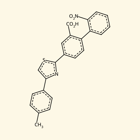 Cc1ccc(-c2csc(-c3ccc(-c4ccccc4[N+](=O)[O-])c(C(=O)O)c3)n2)cc1